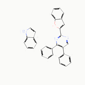 c1ccc(-c2cnc(-c3cc4ccccc4o3)nc2-c2ccccc2)cc1.c1ccc2[nH]ccc2c1